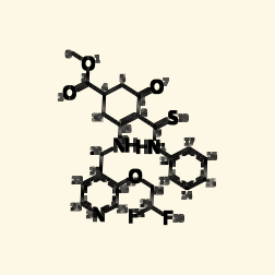 COC(=O)C1CC(=O)C(C(=S)Nc2ccccc2)=C(NCc2ccncc2OCC(F)F)C1